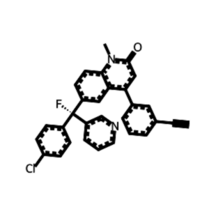 C#Cc1cccc(-c2cc(=O)n(C)c3ccc([C@](F)(c4ccc(Cl)cc4)c4cccnc4)cc23)c1